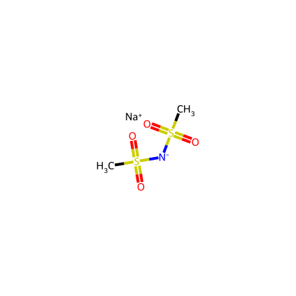 CS(=O)(=O)[N-]S(C)(=O)=O.[Na+]